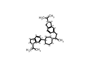 CC(C)N1Cc2ccc(CC(C)N3CCCC(c4ccc5c(c4)N(C(C)C)CC5)CC3)cc2C1